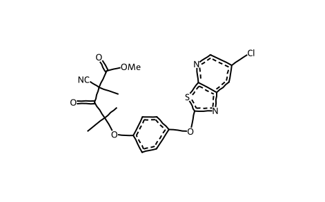 COC(=O)C(C)(C#N)C(=O)C(C)(C)Oc1ccc(Oc2nc3cc(Cl)cnc3s2)cc1